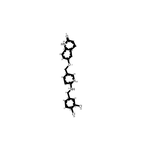 O=c1ccc2cc(OCc3ccc(NCc4ccc(Cl)c(Cl)c4)nc3)ccc2[nH]1